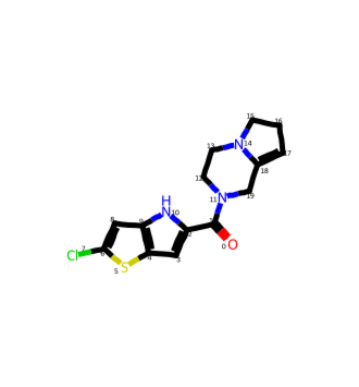 O=C(c1cc2sc(Cl)cc2[nH]1)N1CCN2CCC=C2C1